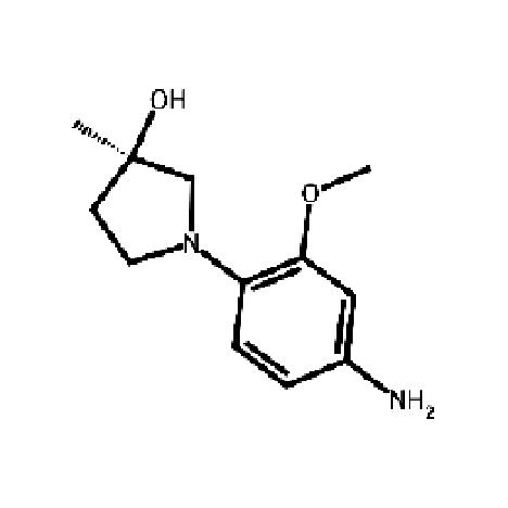 COc1cc(N)ccc1N1CC[C@@](C)(O)C1